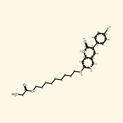 CCC(=O)OCCCCCCCCCOc1cc2oc(=O)c(-c3ccc(F)cc3)cc2cn1